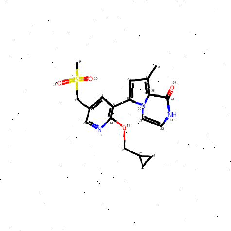 Cc1cc(-c2cc(CS(C)(=O)=O)cnc2OCC2CC2)n2cc[nH]c(=O)c12